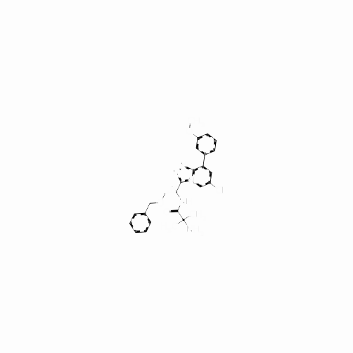 COc1cccc(-c2cc(Cl)cn3c([C@@H](COCc4ccccc4)NC(=O)C(C)(C)N)nnc23)c1